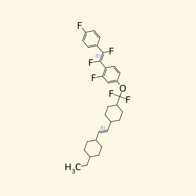 CCC1CCC(/C=C/C2CCC(C(F)(F)Oc3ccc(/C(F)=C(\F)c4ccc(F)cc4)c(F)c3)CC2)CC1